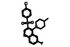 CC1CCN(c2c(S(=O)(=O)c3ccc(Cl)cc3)cnc3ccc(F)cc23)CC1